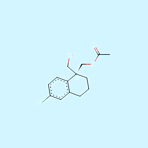 CC(=O)OC[C@@]1(CO)CCCc2cc(Cl)ccc21